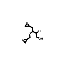 OCC(O)C(CC1CO1)OCC1CO1